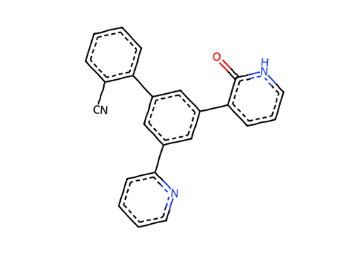 N#Cc1ccccc1-c1cc(-c2ccccn2)cc(-c2ccc[nH]c2=O)c1